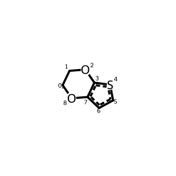 [CH]1COc2sccc2O1